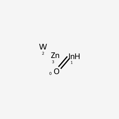 [O]=[InH].[W].[Zn]